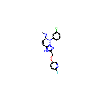 C/N=C(\C=C/c1nnc(COc2ccc(F)nc2)[nH]1)Nc1cccc(Cl)c1